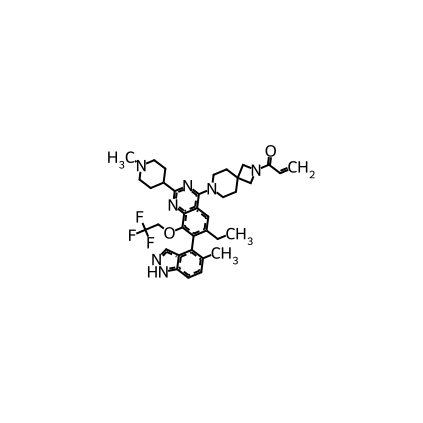 C=CC(=O)N1CC2(CCN(c3nc(C4CCN(C)CC4)nc4c(OCC(F)(F)F)c(-c5c(C)ccc6[nH]ncc56)c(CC)cc34)CC2)C1